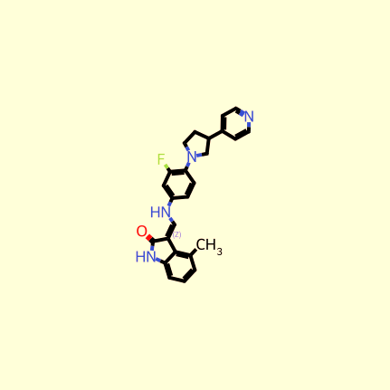 Cc1cccc2c1/C(=C/Nc1ccc(N3CCC(c4ccncc4)C3)c(F)c1)C(=O)N2